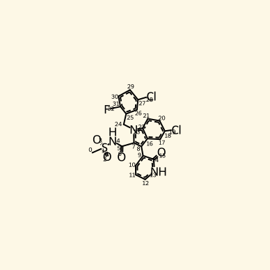 CS(=O)(=O)NC(=O)c1c(-c2ccc[nH]c2=O)c2cc(Cl)ccc2n1Cc1cc(Cl)ccc1F